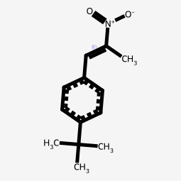 C/C(=C\c1ccc(C(C)(C)C)cc1)[N+](=O)[O-]